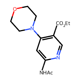 CCOC(=O)c1cnc(NC(C)=O)cc1N1CCOCC1